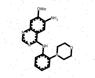 COc1cc2ncnc(Nc3ccccc3N3CCOCC3)c2cc1N